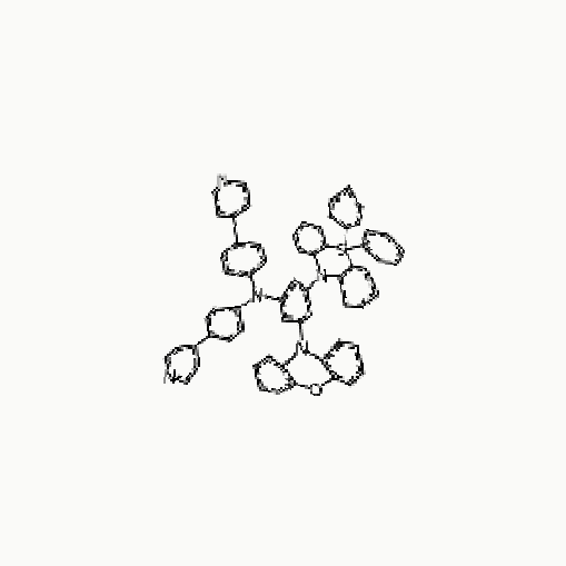 c1ccc([Si]2(c3ccccc3)c3ccccc3N(c3cc(N(c4ccc(-c5ccncc5)cc4)c4ccc(-c5ccncc5)cc4)cc(N4c5ccccc5Oc5ccccc54)c3)c3ccccc32)cc1